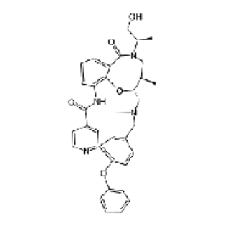 C[C@@H]1CN([C@H](C)CO)C(=O)c2cccc(NC(=O)c3ccncc3)c2O[C@H]1CN(C)Cc1ccc(Oc2ccccc2)cc1